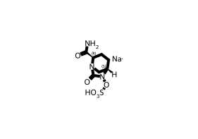 NC(=O)[C@H]1CC[C@H]2CN1C(=O)N2OS(=O)(=O)O.[Na]